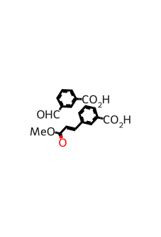 COC(=O)/C=C/c1cccc(C(=O)O)c1.O=Cc1cccc(C(=O)O)c1